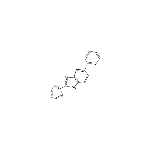 [c]1c(-c2ccccc2)ccc2sc(-c3ccccc3)nc12